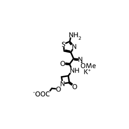 CON=C(C(=O)NC1CN(OCC(=O)[O-])C1=O)c1csc(N)n1.[K+]